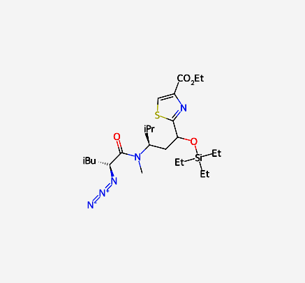 CCOC(=O)c1csc(C(C[C@H](C(C)C)N(C)C(=O)[C@@H](N=[N+]=[N-])[C@@H](C)CC)O[Si](CC)(CC)CC)n1